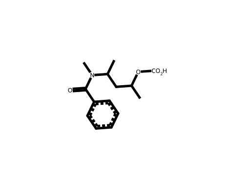 CC(CC(C)N(C)C(=O)c1ccccc1)OC(=O)O